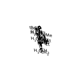 C=NN(c1nc(Cl)nc(N(C(=O)OC(C)(C)C)C2CCCC2)c1C)[C@@H]1O[C@H](CO[C@](COCCOC)(COCc2nnnn2COCC[Si](C)(C)C)P(=O)(OCC)OCC)[C@H]2OC(C)(C)O[C@H]21